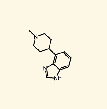 CN1CCC(c2cccc3[nH]cnc23)CC1